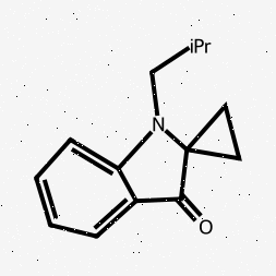 CC(C)CN1c2ccccc2C(=O)C12CC2